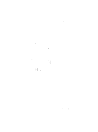 O=C(O)c1ccc(CCNc2ncnc(N3CCCC3c3ccc(C(F)(F)F)cc3)c2F)cc1